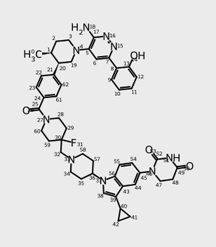 C[C@H]1CCN(c2cc(-c3ccccc3O)nnc2N)C[C@H]1c1ccc(C(=O)N2CCC(F)(CN3CCC(n4cc(C5CC5)c5cc(N6CCC(=O)NC6=O)ccc54)CC3)CC2)cc1